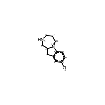 Clc1ccc2c(c1)CC1CNCCCN21